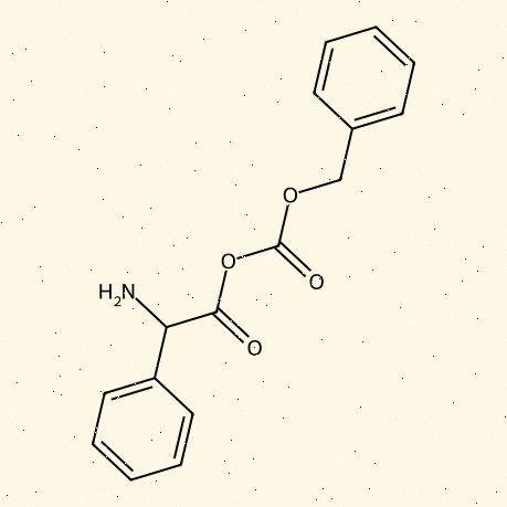 NC(C(=O)OC(=O)OCc1ccccc1)c1ccccc1